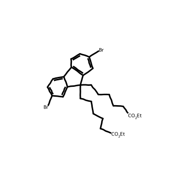 CCOC(=O)CCCCCC1(CCCCCC(=O)OCC)c2cc(Br)ccc2-c2ccc(Br)cc21